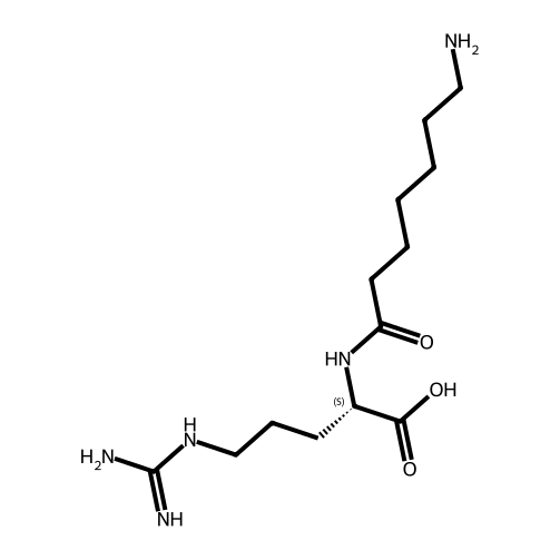 N=C(N)NCCC[C@H](NC(=O)CCCCCCN)C(=O)O